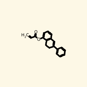 C=CC(=O)Oc1cccc2c1CCC(c1ccccc1)=C2